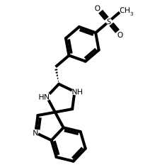 CS(=O)(=O)c1ccc(C[C@@H]2NCC3(C=Nc4ccccc43)N2)cc1